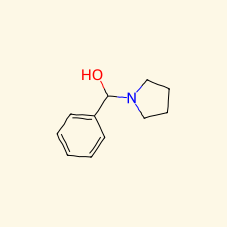 OC(c1ccccc1)N1CCCC1